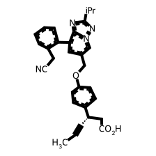 CC#C[C@@H](CC(=O)O)c1ccc(OCc2cc(-c3ccccc3CC#N)c3nc(C(C)C)nn3c2)cc1